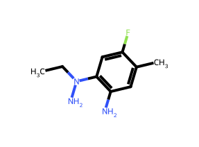 CCN(N)c1cc(F)c(C)cc1N